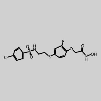 O=C(COc1ccc(SCCNS(=O)(=O)c2ccc(Cl)cc2)cc1F)NO